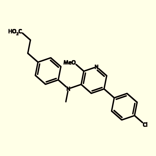 COc1ncc(-c2ccc(Cl)cc2)cc1N(C)c1ccc(CCC(=O)O)cc1